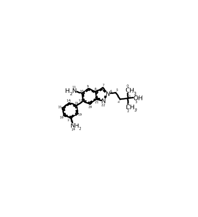 CC(C)(O)CCn1cc2cc(N)c(-c3cccc(N)c3)cc2n1